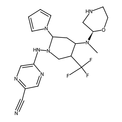 CN(C1CC(n2cccc2)N(Nc2cnc(C#N)cn2)CC1C(F)(F)F)[C@H]1CNCCO1